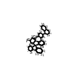 Fc1ccc2c(c1)C(c1ccccc1)(c1ccccc1)c1cccc(-c3cc(-c4cccc5ccccc45)ccc3Cl)c1-2